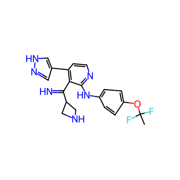 CC(F)(F)Oc1ccc(Nc2nccc(-c3cn[nH]c3)c2C(=N)C2CNC2)cc1